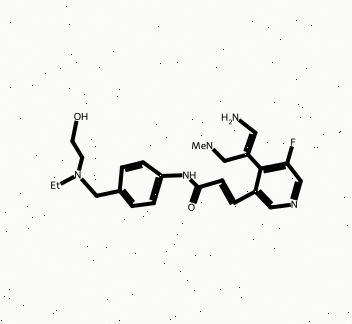 CCN(CCO)Cc1ccc(NC(=O)/C=C/c2cncc(F)c2/C(=C/N)CNC)cc1